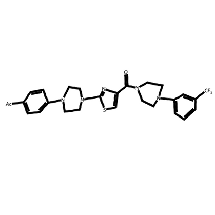 CC(=O)c1ccc(N2CCN(c3nc(C(=O)N4CCN(c5cccc(C(F)(F)F)c5)CC4)cs3)CC2)cc1